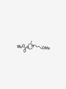 COCCCCN1CCN(C(=O)OC(C)(C)C)C[C@H]1C